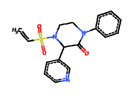 C=CS(=O)(=O)N1CCN(c2ccccc2)C(=O)C1c1cccnc1